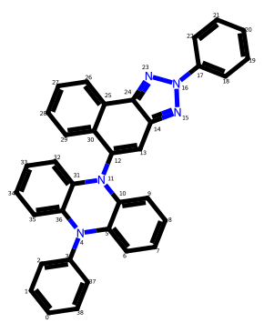 c1ccc(N2c3ccccc3N(c3cc4nn(-c5ccccc5)nc4c4ccccc34)c3ccccc32)cc1